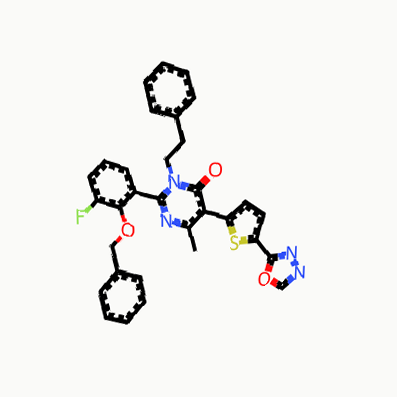 Cc1nc(-c2cccc(F)c2OCc2ccccc2)n(CCc2ccccc2)c(=O)c1-c1ccc(-c2nnco2)s1